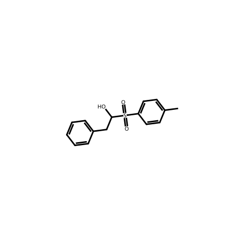 Cc1ccc(S(=O)(=O)C(O)Cc2ccccc2)cc1